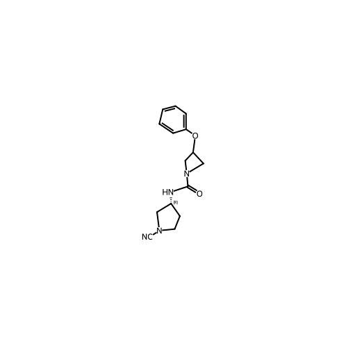 N#CN1CC[C@@H](NC(=O)N2CC(Oc3ccccc3)C2)C1